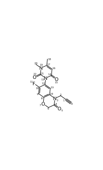 C#CCN1C(=O)COc2cc(F)c(-n3c(=O)cc(C)n(C)c3=O)cc21